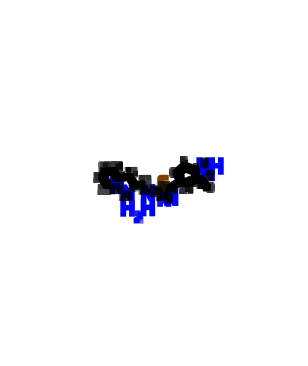 Cc1n[nH]c2ccc(-c3nnc(NCC(N)Cc4ccccn4)s3)cc12